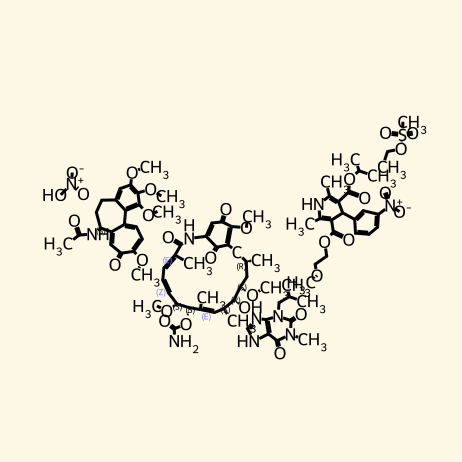 CC(C)Cn1c(=O)n(C)c(=O)c2[nH]cnc21.CCOS(C)(=O)=O.COC1=C2C[C@@H](C)C[C@H](OC)[C@H](O)[C@@H](C)/C=C(\C)[C@H](OC(N)=O)[C@@H](OC)/C=C\C=C(/C)C(=O)NC(=CC1=O)C2=O.COCCOC(=O)C1=C(C)NC(C)=C(C(=O)OC(C)C)C1c1cccc([N+](=O)[O-])c1.COc1cc2c(c(OC)c1OC)-c1ccc(OC)c(=O)cc1[C@@H](NC(C)=O)CC2.O=[N+]([O-])O